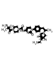 CC(Cc1ccc(-n2ccc(NC(=O)N3CCN(C(=O)C(C)(C)N)CC3)nc2=O)cc1)N1C[C@@H]2[C@@H](CN)[C@@H]2C1